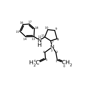 C=CCN(CC=C)C1CCCC1Nc1ccccc1